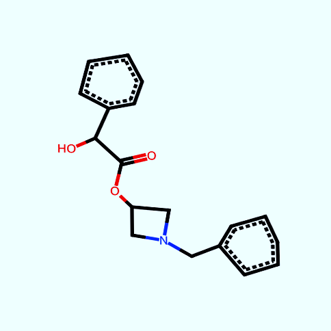 O=C(OC1CN(Cc2ccccc2)C1)C(O)c1ccccc1